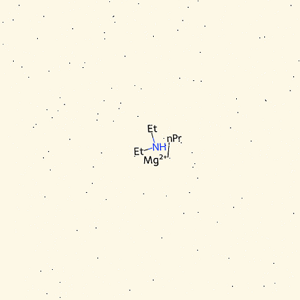 CCC[CH2][Mg+2].CCNCC